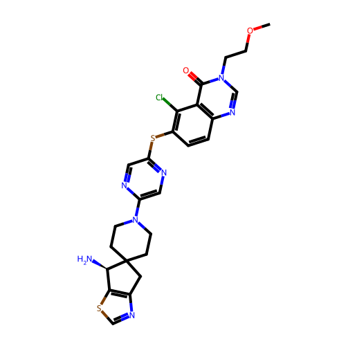 COCCn1cnc2ccc(Sc3cnc(N4CCC5(CC4)Cc4ncsc4[C@H]5N)cn3)c(Cl)c2c1=O